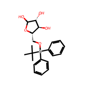 CC(C)(C)[Si](OC[C@@H]1OC(O)[C@H](O)[C@H]1O)(c1ccccc1)c1ccccc1